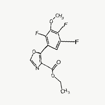 CCOC(=O)c1ncoc1-c1cc(F)c(F)c(OC)c1F